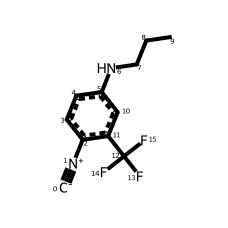 [C-]#[N+]c1ccc(NCCC)cc1C(F)(F)F